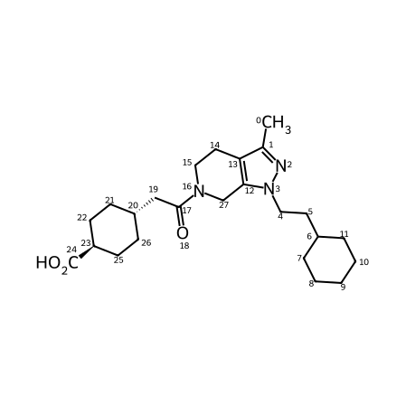 Cc1nn(CCC2CCCCC2)c2c1CCN(C(=O)C[C@H]1CC[C@H](C(=O)O)CC1)C2